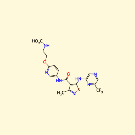 Cc1nsc(Nc2cncc(C(F)(F)F)n2)c1C(=O)Nc1ccc(OCCNC(=O)O)nc1